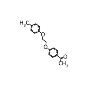 CC(=O)c1ccc(OCCOc2ccc(C)cc2)cc1